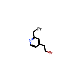 CC(C)Cc1cc(CCBr)ccn1